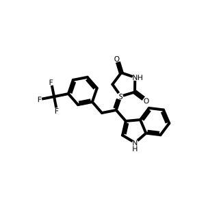 O=C1CS(=C(Cc2cccc(C(F)(F)F)c2)c2c[nH]c3ccccc23)C(=O)N1